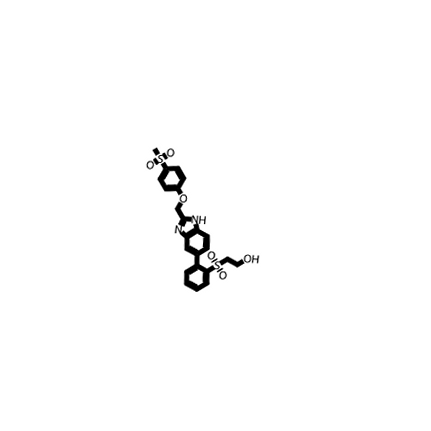 CS(=O)(=O)c1ccc(OCc2nc3cc(-c4ccccc4S(=O)(=O)CCO)ccc3[nH]2)cc1